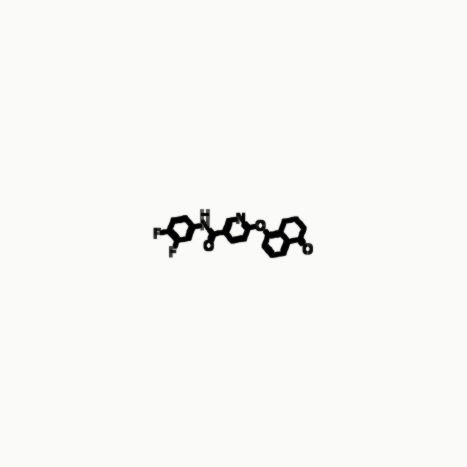 O=C(Nc1ccc(F)c(F)c1)c1ccc(Oc2cccc3c2CCCC3=O)nc1